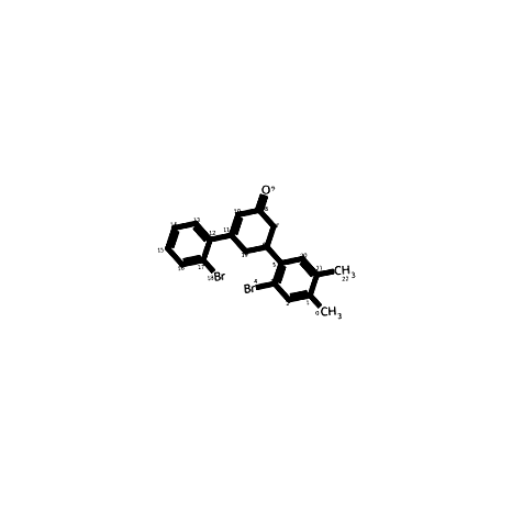 Cc1cc(Br)c(C2CC(=O)C=C(c3ccccc3Br)C2)cc1C